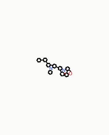 c1ccc2c(c#1)-c1c(cccc1-n1c3c(c4cc(-c5ccc6c7cc(-c8cccc(-c9ccccc9)c8)ccc7n(-c7ccccc7)c6c5)ccc41)C=CCC3)CO2